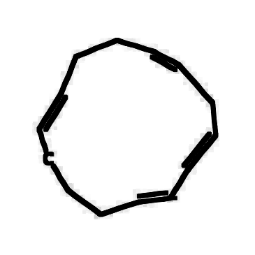 [C]1=C/CCC/C=C/CC/C=C\C/C=C/1